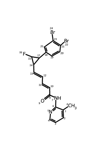 Cc1cccnc1NC(=O)/C=C/C=C/C1C(F)C1c1ccc(Br)c(Br)c1